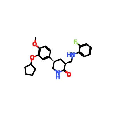 COc1ccc([C@H]2CNC(=O)[C@H](CNc3ccccc3F)C2)cc1OC1CCCC1